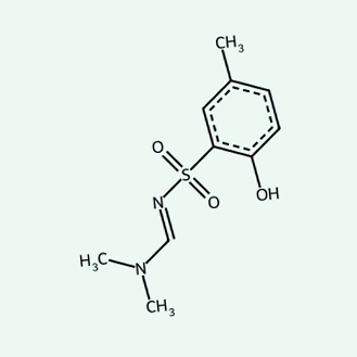 Cc1ccc(O)c(S(=O)(=O)/N=C/N(C)C)c1